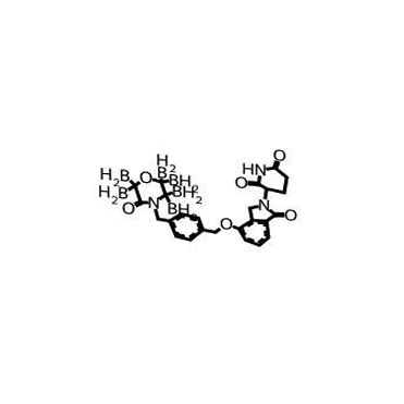 BC1(B)OC(B)(B)C(B)(B)N(Cc2ccc(COc3cccc4c3CN(C3CCC(=O)NC3=O)C4=O)cc2)C1=O